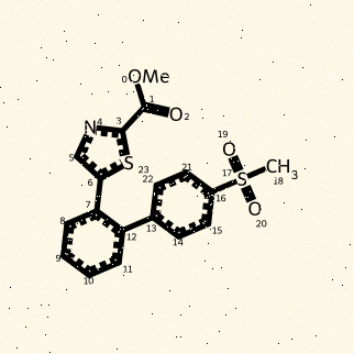 COC(=O)c1ncc(-c2ccccc2-c2ccc(S(C)(=O)=O)cc2)s1